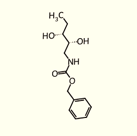 CC[C@@H](O)[C@H](O)CNC(=O)OCc1ccccc1